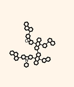 c1ccc(-n2c3cc(-c4c5ccccc5c(-c5ccc6ccccc6c5)c5ccc(-c6ccc7c(-c8ccc9oc%10ccc(-c%11cccc%12c%11ccc%11ccccc%11%12)cc%10c9c8)c8ccccc8c(-c8cccc(-c9cccc%10ccccc9%10)c8)c7c6)cc45)ccc3c3ccc(-c4cccc5c4ccc4ccccc45)cc32)cc1